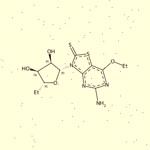 CCOc1nc(N)nc2c1sc(=S)n2[C@@H]1O[C@H](CC)[C@@H](O)[C@H]1O